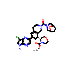 CC(C)(C)OC(=O)N1CCOC[C@H]1c1cc(-c2cnc3[nH]cc(Cl)c3n2)cc2c1CN(C(=O)N1CC3CCC(C1)O3)CC2